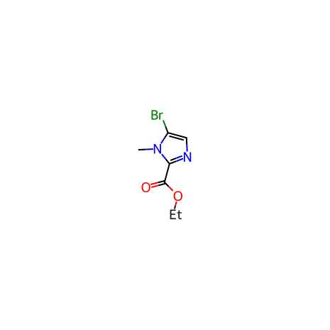 CCOC(=O)c1ncc(Br)n1C